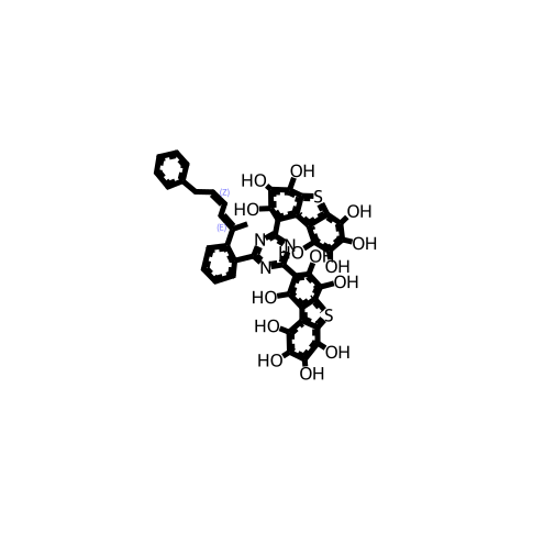 C/C(=C\C=C/Cc1ccccc1)c1ccccc1-c1nc(-c2c(O)c(O)c3sc4c(O)c(O)c(O)c(O)c4c3c2O)nc(-c2c(O)c(O)c(O)c3sc4c(O)c(O)c(O)c(O)c4c23)n1